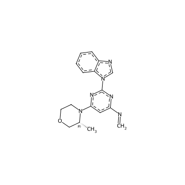 C=Nc1cc(N2CCOC[C@H]2C)nc(-n2cnc3ccccc32)n1